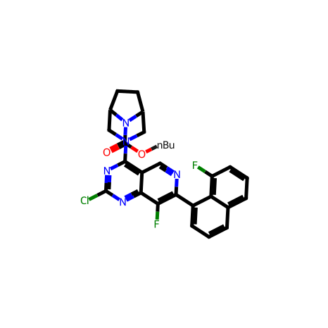 CCCCOC(=O)N1C2CCC1CN(c1nc(Cl)nc3c(F)c(-c4cccc5cccc(F)c45)ncc13)C2